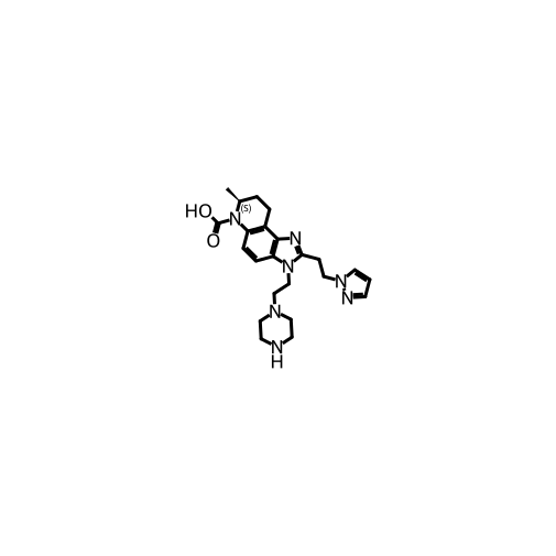 C[C@H]1CCc2c(ccc3c2nc(CCn2cccn2)n3CCN2CCNCC2)N1C(=O)O